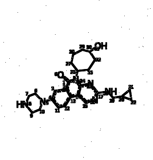 O=c1c2cc(N3CCNCC3)ccc2c2cnc(NCC3CC3)nc2n1C1CCC[C@@H](O)CC1